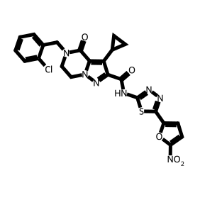 O=C(Nc1nnc(-c2ccc([N+](=O)[O-])o2)s1)c1nn2c(c1C1CC1)C(=O)N(Cc1ccccc1Cl)CC2